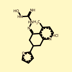 Cc1ccnc2c1/C(=N\NC(=N)NO)CC(c1ccco1)C2.Cl